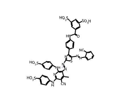 Cc1c(C#N)c(Nc2ccc(S(=O)(=O)O)cc2)nc(Nc2ccc(S(=O)(=O)O)cc2)c1/N=N/c1nc(-c2ccc(NC(=O)c3cc(S(=O)(=O)O)cc(S(=O)(=O)O)c3)cc2)c(N=Nc2ccccc2C#N)s1